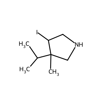 CC(C)C1(C)CNCC1I